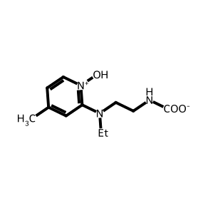 CCN(CCNC(=O)[O-])c1cc(C)cc[n+]1O